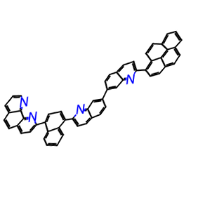 c1cnc2c(c1)ccc1ccc(-c3ccc(-c4ccc5ccc(-c6ccc7ccc(-c8ccc9ccc%10cccc%11ccc8c9c%10%11)nc7c6)cc5n4)c4ccccc34)nc12